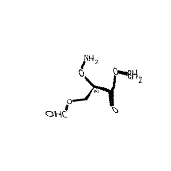 BOC(=O)[C@@H](COC=O)ON